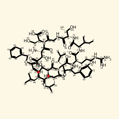 CCC(C)[C@H](NC(=O)[C@@H](CCCNC(=N)N)NC(=O)[C@@](CC(C)C)(C(=O)[C@@H](N)Cc1cccc(O)c1)N(C(=O)[C@H](CC(C)C)NC(=O)[C@@H](CC(C)C)NCC(=O)OCc1ccccc1)C(=O)[C@@H](N)[C@H](O)C(C)C)C(=O)N[C@H](C(=O)NCC(=O)N(C(=O)[C@@H](N)[C@H](O)C(N)=O)[C@@H](CO)C(=O)O)[C@H](C)O